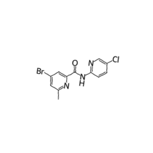 Cc1cc(Br)cc(C(=O)Nc2ccc(Cl)cn2)n1